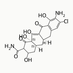 NC(=O)C1C(=O)[C@@]2(O)C(O)=C3C(=O)c4c(cc(Cl)c(N)c4O)C[C@H]3C[C@H]2CC1O